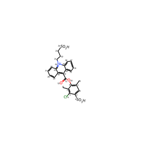 Cc1cc(S(=O)(=O)O)c(Cl)c(C)c1OC(=O)c1c2ccccc2[n+](CCCS(=O)(=O)O)c2ccccc12